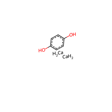 Oc1ccc(O)cc1.[CaH2].[CaH2]